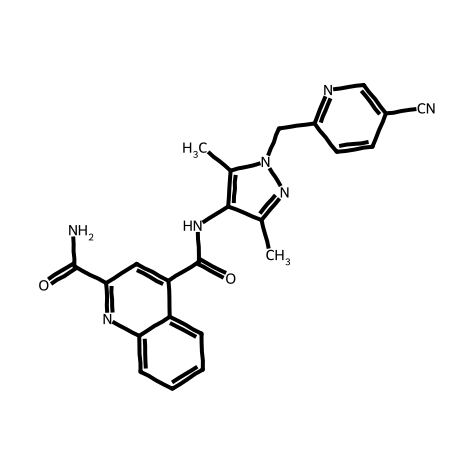 Cc1nn(Cc2ccc(C#N)cn2)c(C)c1NC(=O)c1cc(C(N)=O)nc2ccccc12